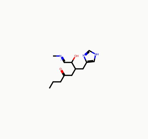 CCCC(=O)CC(Cc1c[nH]cn1)C(O)/C=N/C